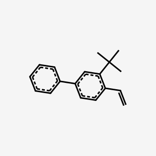 C=Cc1ccc(-c2ccccc2)cc1C(C)(C)C